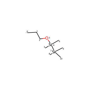 [CH2]CCO[Si](C)(C)[Si](C)(C)C